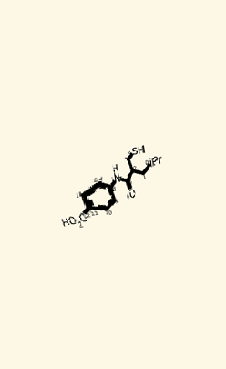 CC(C)CC(CS)C(=O)Nc1ccc(C(=O)O)cc1